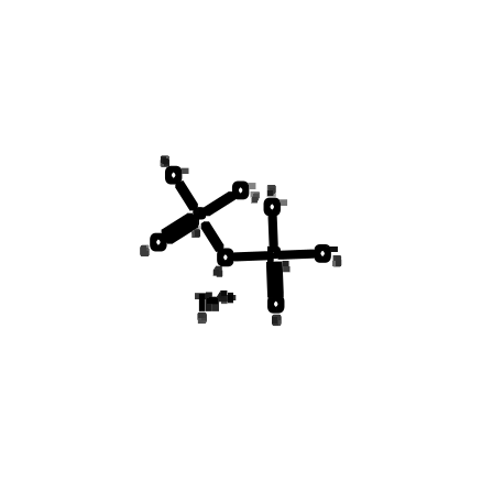 O=P([O-])([O-])OP(=O)([O-])[O-].[Th+4]